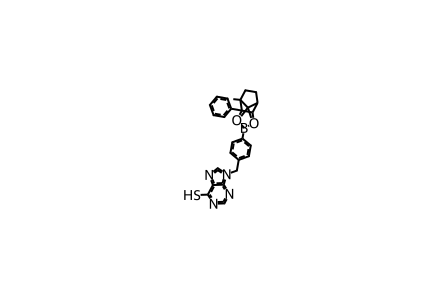 CC1(C)C2CCC1(C)C1(c3ccccc3)OB(c3ccc(Cn4cnc5c(S)ncnc54)cc3)OC21